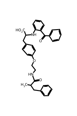 CC(Cc1ccccc1)C(=O)NCCOc1ccc(CC(Nc2ccccc2C(=O)c2ccccc2)C(=O)O)cc1